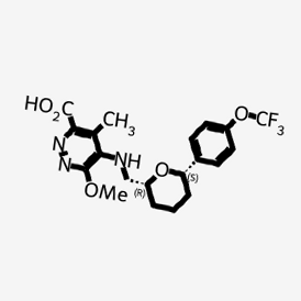 COc1nnc(C(=O)O)c(C)c1NC[C@H]1CCC[C@@H](c2ccc(OC(F)(F)F)cc2)O1